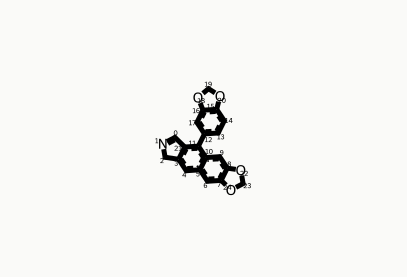 C1=NCc2cc3cc4c(cc3c(-c3ccc5c(c3)OCO5)c21)OCO4